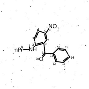 CCCNc1ccc([N+](=O)[O-])cc1C(=O)c1ccccc1